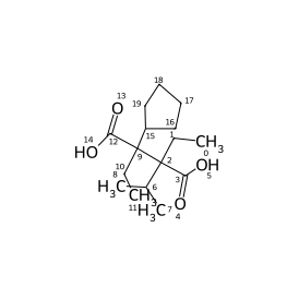 CCC(C(=O)O)(C(C)C)C(CC)(C(=O)O)C1CCCC1